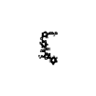 CCOC(=O)N1CCC(Oc2ncc(NC(=O)c3nc(-c4ccccc4)oc3C(F)(F)F)cn2)C1